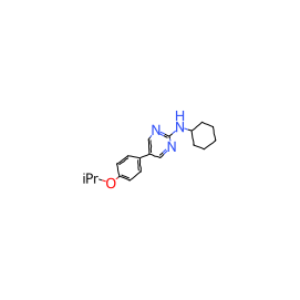 CC(C)Oc1ccc(-c2cnc(NC3CCCCC3)nc2)cc1